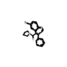 O=C(c1c(-c2ccccc2)cnc2ccc(F)cc12)N1CCCC1